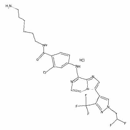 Cl.NCCCCCCNC(=O)c1ccc(Nc2nccn3c(-c4cn(CC(F)F)nc4C(F)(F)F)cnc23)cc1Cl